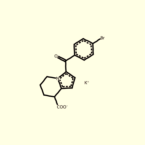 O=C(c1ccc(Br)cc1)c1ccc2n1CCCC2C(=O)[O-].[K+]